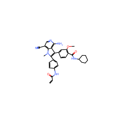 C=CC(=O)Nc1ccc(-c2c(-c3ccc(C(=O)NC4CCCCC4)c(OC)c3)c3c(N)ncc(C#N)c3n2C)cc1